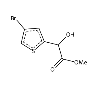 COC(=O)C(O)c1cc(Br)cs1